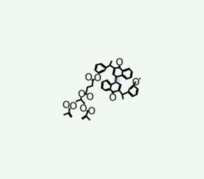 C=C(C)C(=O)OCC(COC(=O)C(=C)C)OC(=O)CCC(=O)Oc1cccc(C(C)C2=C/C(=C3/C=C(C(C)c4cccc(OC)c4)C(=O)c4ccccc43)c3ccccc3C2=O)c1